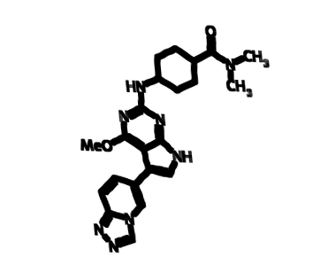 COc1nc(NC2CCC(C(=O)N(C)C)CC2)nc2[nH]cc(-c3ccc4nncn4c3)c12